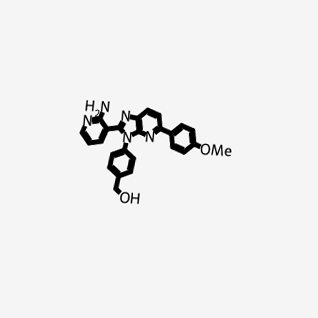 COc1ccc(-c2ccc3nc(-c4cccnc4N)n(-c4ccc(CO)cc4)c3n2)cc1